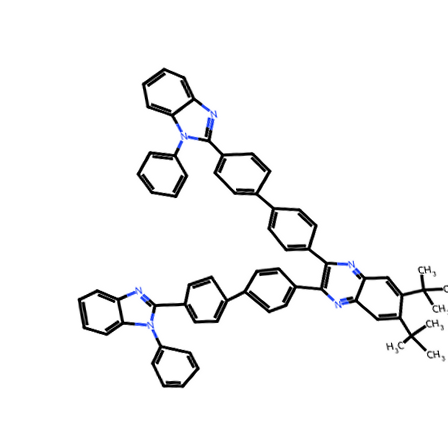 CC(C)(C)c1cc2nc(-c3ccc(-c4ccc(-c5nc6ccccc6n5-c5ccccc5)cc4)cc3)c(-c3ccc(-c4ccc(-c5nc6ccccc6n5-c5ccccc5)cc4)cc3)nc2cc1C(C)(C)C